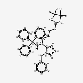 CC1(C)OB(CCCCC(NC(c2ccccc2)(c2ccccc2)c2ccccc2)c2nnnn2Cc2cccnc2)OC1(C)C